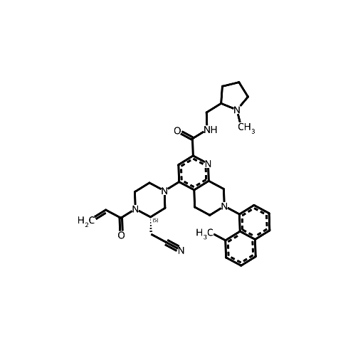 C=CC(=O)N1CCN(c2cc(C(=O)NCC3CCCN3C)nc3c2CCN(c2cccc4cccc(C)c24)C3)C[C@@H]1CC#N